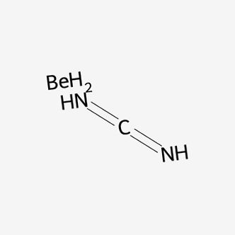 N=C=N.[BeH2]